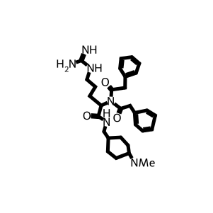 CNC1CCC(CNC(=O)C(CCCNC(=N)N)N(C(=O)Cc2ccccc2)C(=O)Cc2ccccc2)CC1